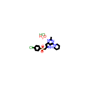 Cc1nc(N2CCCCC2)c2[nH]c(CS(=O)(=O)c3ccc(Cl)cc3)cc2n1.Cl.O